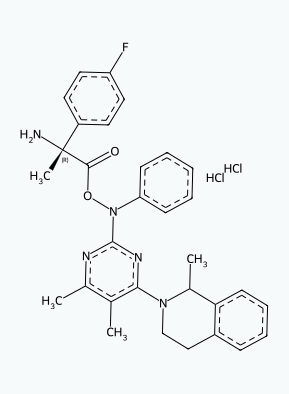 Cc1nc(N(OC(=O)[C@](C)(N)c2ccc(F)cc2)c2ccccc2)nc(N2CCc3ccccc3C2C)c1C.Cl.Cl